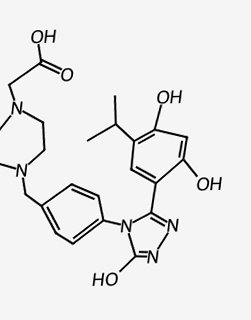 CC(C)c1cc(-c2nnc(O)n2-c2ccc(CN3CCN(CC(=O)O)CC3)cc2)c(O)cc1O